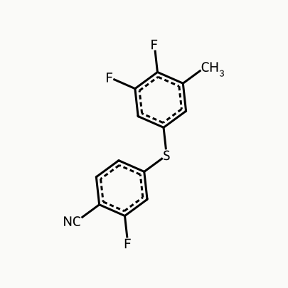 Cc1cc(Sc2ccc(C#N)c(F)c2)cc(F)c1F